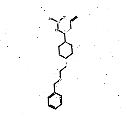 C=CC[C@@H](N[S+]([O-])C(C)(C)C)[C@H]1CC[C@H](CCOCc2ccccc2)CC1